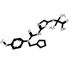 CSc1ccc(N(CC2CCCC2)C(=O)NC2=NCC(SC(C)(C)C(=O)O)S2)cc1